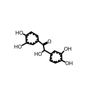 O=C(c1ccc(O)c(O)c1)C(O)c1ccc(O)c(O)c1